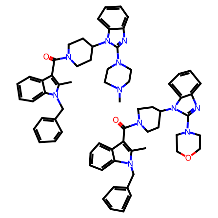 Cc1c(C(=O)N2CCC(n3c(N4CCN(C)CC4)nc4ccccc43)CC2)c2ccccc2n1Cc1ccccc1.Cc1c(C(=O)N2CCC(n3c(N4CCOCC4)nc4ccccc43)CC2)c2ccccc2n1Cc1ccccc1